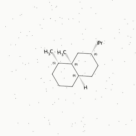 CC(C)[C@@H]1CC[C@H]2CCC[C@H](C)[C@@]2(C)C1